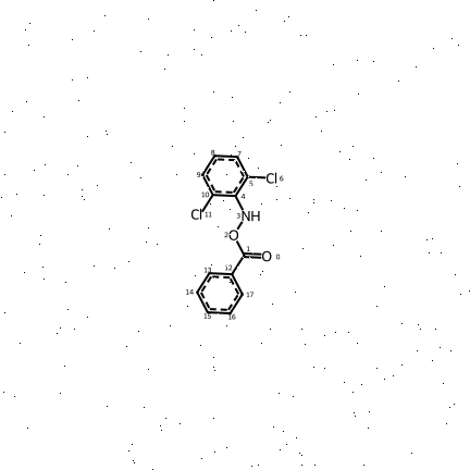 O=C(ONc1c(Cl)cccc1Cl)c1ccccc1